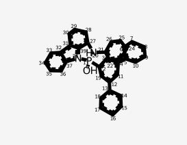 O[PH]1(c2cc(-c3ccccc3)cc(-c3ccccc3)c2)N(c2ccccc2)c2cccc3c4ccccc4n1c23